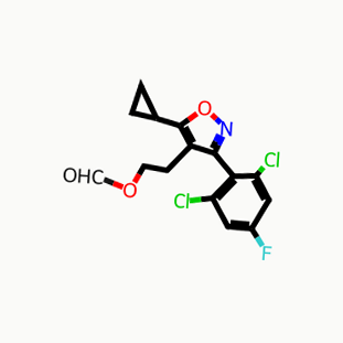 O=COCCc1c(-c2c(Cl)cc(F)cc2Cl)noc1C1CC1